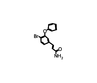 NC(=O)C=Cc1ccc(Br)c(Oc2ccccc2)c1